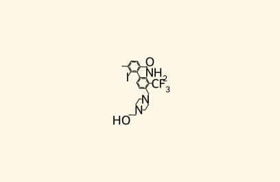 Cc1ccc(C(N)=O)c(-c2ccc(CN3CCN(CCO)CC3)c(C(F)(F)F)c2)c1I